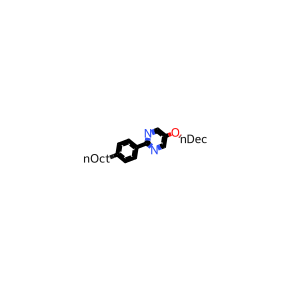 CCCCCCCCCCOc1cnc(-c2ccc(CCCCCCCC)cc2)nc1